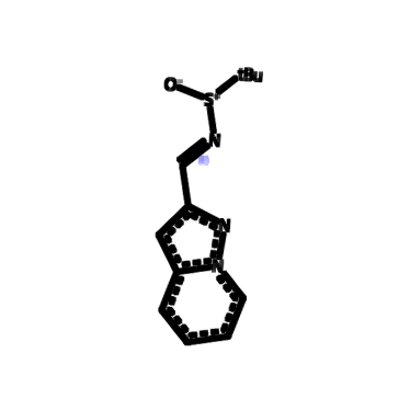 CC(C)(C)[S+]([O-])/N=C/c1cc2ccccn2n1